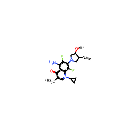 CCOC1CN(c2c(F)c(N)c3c(=O)c(C(=O)O)cn(C4CC4)c3c2F)CC1NC